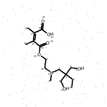 CCC(CO)(CO)CN(C)CCOC(=O)/C(C)=C(/C)C(=O)O